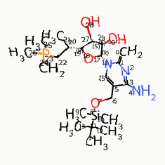 C=C1N=C(N)C(CO[Si](C)(C)C(C)(C)C)=CN1[C@@H]1O[C@H](C(C)CP(=C)(C)C)[C@@H](O)[C@H]1O